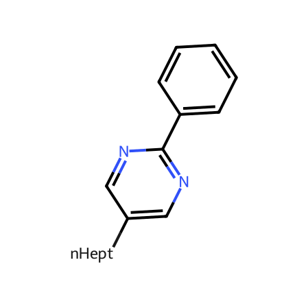 CCCCCCCc1cnc(-c2ccccc2)nc1